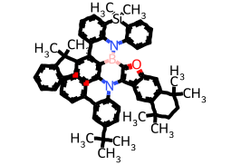 CC(C)(C)c1ccc(N2c3cc4c(c5c3B(c3oc6cc7c(cc6c32)C(C)(C)CCC7(C)C)N2c3ccccc3[Si](C)(C)c3cccc-5c32)C(C)(C)c2ccccc2-4)c(-c2ccccc2)c1